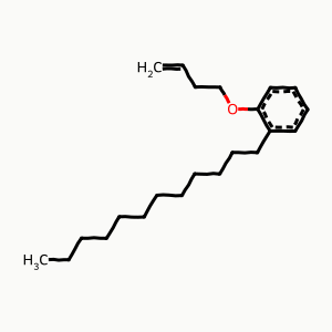 C=CCCOc1ccccc1CCCCCCCCCCCC